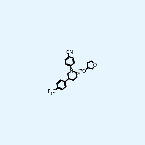 N#Cc1ccc(N2CC(c3ccc(C(F)(F)F)cc3)CC[C@H]2COC2CCOC2)cc1